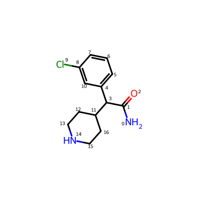 NC(=O)C(c1cccc(Cl)c1)C1CCNCC1